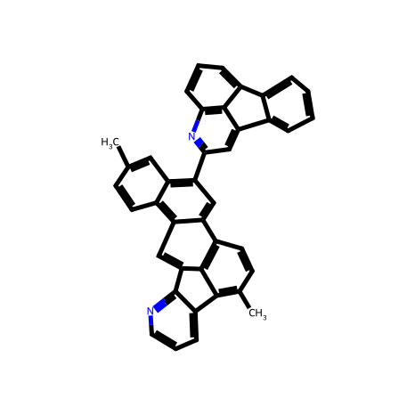 Cc1ccc2c(c1)c(-c1cc3c4c(cccc4n1)-c1ccccc1-3)cc1c3ccc(C)c4c3c(cc21)-c1ncccc1-4